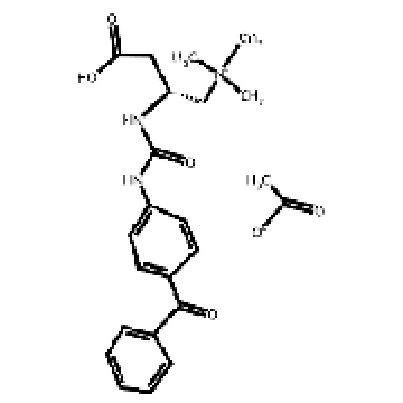 CC(=O)[O-].C[N+](C)(C)C[C@@H](CC(=O)O)NC(=O)Nc1ccc(C(=O)c2ccccc2)cc1